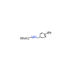 COCCNCc1ccc(C(C)C)cc1